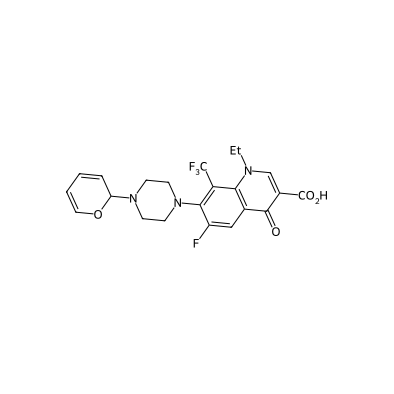 CCn1cc(C(=O)O)c(=O)c2cc(F)c(N3CCN(C4C=CC=CO4)CC3)c(C(F)(F)F)c21